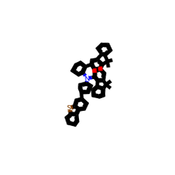 CC1(C)c2ccccc2-c2cc(-c3ccccc3N(c3ccc(-c4ccc5c(c4)sc4ccccc45)cc3)c3cccc4c3-c3ccccc3C4(C)C)ccc21